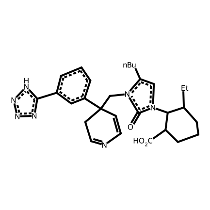 CCCCc1cn(C2C(CC)CCCC2C(=O)O)c(=O)n1CC1(c2cccc(-c3nnn[nH]3)c2)C=CN=CC1